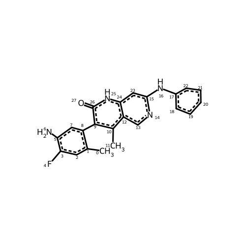 Cc1cc(F)c(N)cc1-c1c(C)c2cnc(Nc3ccccc3)cc2[nH]c1=O